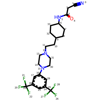 N#CCC(=O)NC1CCC(CCN2CCN(c3cc(C(F)(F)F)cc(C(F)(F)F)c3)CC2)CC1